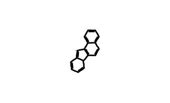 [C]1=C2C=CC=CC2c2ccc3ccccc3c21